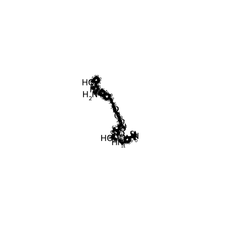 Cc1ncsc1-c1ccc([C@H](C)NC(=O)[C@@H]2C[C@@H](O)CN2C(=O)C(c2cc(OCCOCCOCCCCC3CCC4(CC3)CCN(c3cc(-c5ccccc5O)nnc3N)CC4)no2)C(C)C)cc1